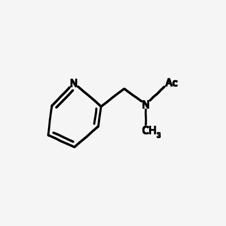 [CH2]C(=O)N(C)Cc1ccccn1